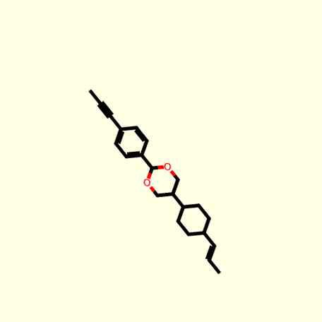 CC#Cc1ccc(C2OCC(C3CCC(C=CC)CC3)CO2)cc1